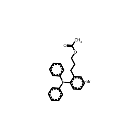 Br.CC(=O)OCCCc1ccccc1P(c1ccccc1)c1ccccc1